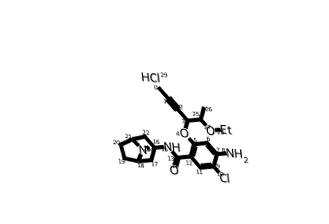 CC#CC(Oc1cc(N)c(Cl)cc1C(=O)NC1CC2CCC(C1)N2C)C(C)OCC.Cl